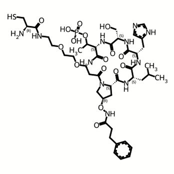 CC(C)C[C@H](NC(=O)[C@@H]1C[C@@H](ONC(=O)CCc2ccccc2)CN1C(=O)CCOCCOCCNC(=O)[C@@H](N)CS)C(=O)N[C@@H](Cc1cnc[nH]1)C(=O)N[C@@H](CO)C(=O)N[C@H](C(N)=O)C(C)OP(=O)(O)O